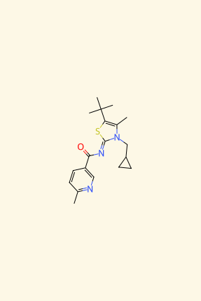 Cc1ccc(C(=O)/N=c2\sc(C(C)(C)C)c(C)n2CC2CC2)cn1